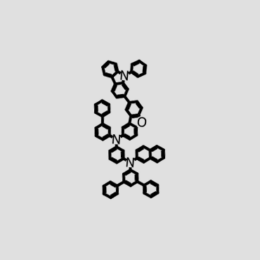 c1ccc(-c2cccc(N(c3cccc(N(c4cc(-c5ccccc5)cc(-c5ccccc5)c4)c4ccc5ccccc5c4)c3)c3ccc4oc5ccc(-c6ccc7c8ccccc8n(-c8ccccc8)c7c6)cc5c4c3)c2)cc1